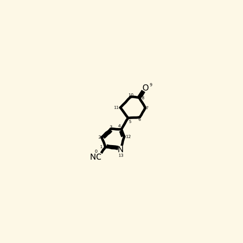 N#Cc1ccc(C2CCC(=O)CC2)cn1